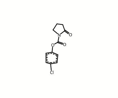 O=C1CCCN1C(=O)Oc1ccc(Cl)cc1